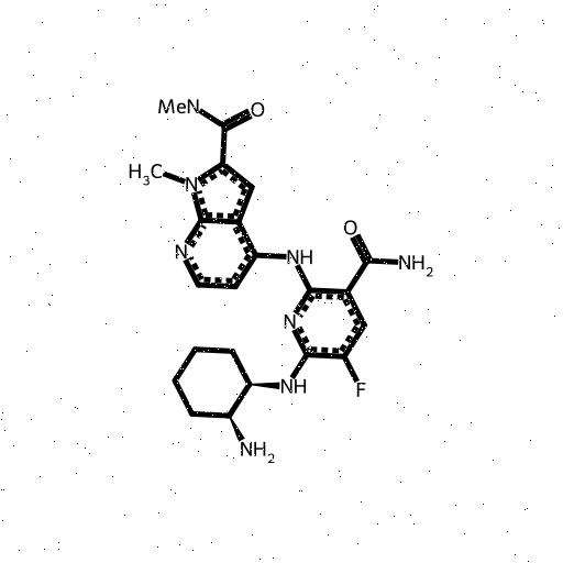 CNC(=O)c1cc2c(Nc3nc(N[C@@H]4CCCC[C@@H]4N)c(F)cc3C(N)=O)ccnc2n1C